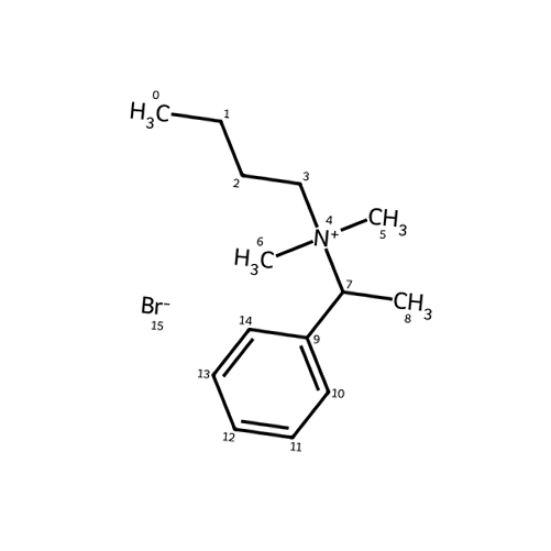 CCCC[N+](C)(C)C(C)c1ccccc1.[Br-]